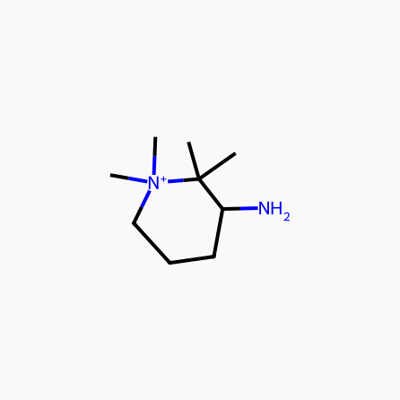 CC1(C)C(N)CCC[N+]1(C)C